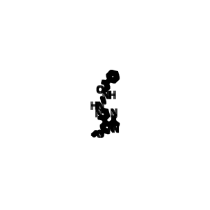 CCOc1cc(-c2ccc(NCCNC(=O)/C=C(\C)c3ccccc3)nc2)c2c(C#N)cnn2c1